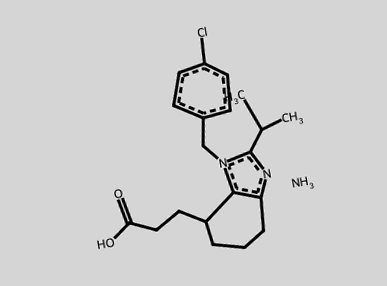 CC(C)c1nc2c(n1Cc1ccc(Cl)cc1)C(CCC(=O)O)CCC2.N